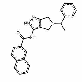 CC(c1ccccc1)N1Cc2n[nH]c(NC(=O)c3ccc4ccccc4c3)c2C1